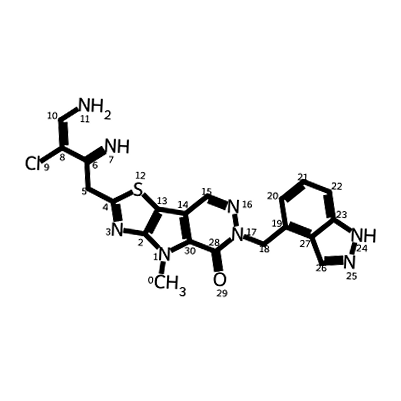 Cn1c2nc(CC(=N)/C(Cl)=C\N)sc2c2cnn(Cc3cccc4[nH]ncc34)c(=O)c21